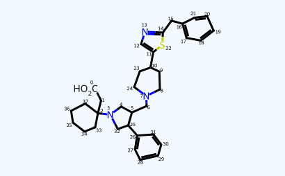 O=C(O)CC1(N2CC(CN3CCC(c4cnc(Cc5ccccc5)s4)CC3)C(c3ccccc3)C2)CCCCC1